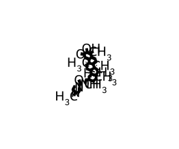 CC1=C(O)C(=O)C=C2C1=CC=C1[C@@]2(C)CC[C@@]2(C)[C@@H]3C[C@](C)(CNC(=O)N4CCN(C)CC4)CC[C@@]3(C)CC[C@]12C